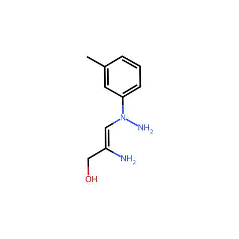 Cc1cccc(N(N)/C=C(\N)CO)c1